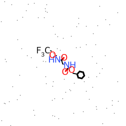 O=C(CNC(=O)OCc1ccccc1)NCOCC(F)(F)F